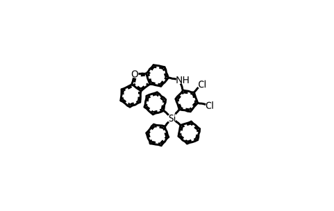 Clc1cc([Si](c2ccccc2)(c2ccccc2)c2ccccc2)cc(Nc2ccc3oc4ccccc4c3c2)c1Cl